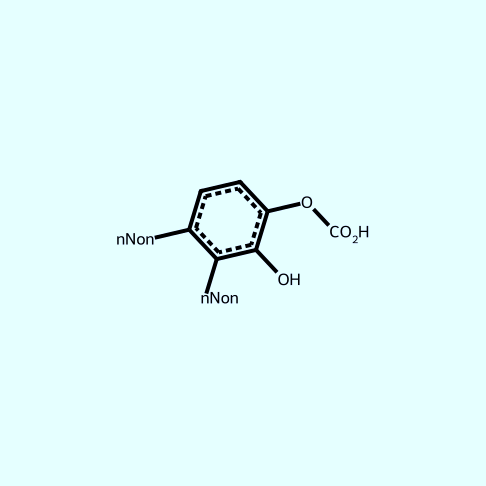 CCCCCCCCCc1ccc(OC(=O)O)c(O)c1CCCCCCCCC